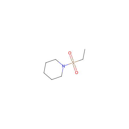 CCS(=O)(=O)N1CCCCC1